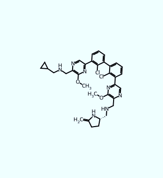 C=C1CC[C@@H](CNCc2ncc(-c3cccc(-c4cccc(-c5cnc(CNCC6CC6)c(OC)n5)c4Cl)c3Cl)nc2OC)N1